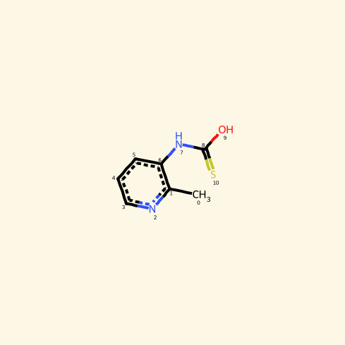 Cc1ncccc1NC(O)=S